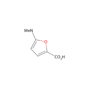 CNc1ccc(C(=O)O)o1